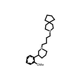 COc1ccccc1C1CCCN(CCCCN2CCC3(CCCC3)CC2)C1